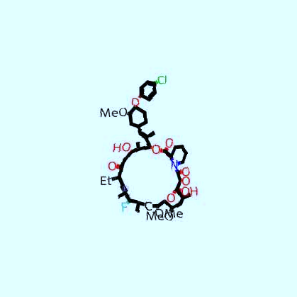 CCC1/C=C(\C)C(F)C(C)CC(OC)C2OC(O)(C(=O)C(=O)N3CCCCC3C(=O)OC(C(C)=CC3CCC(Oc4ccc(Cl)cc4)C(OC)C3)C(C)C(O)CC1=O)C(C)CC2OC